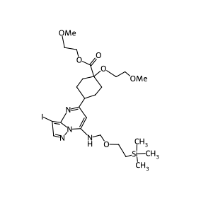 COCCOC(=O)C1(OCCOC)CCC(c2cc(NCOCC[Si](C)(C)C)n3ncc(I)c3n2)CC1